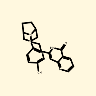 N#Cc1ccc(N2CC3CCC(C2)N3CCCc2cc3ncccc3c(=O)[nH]2)nc1